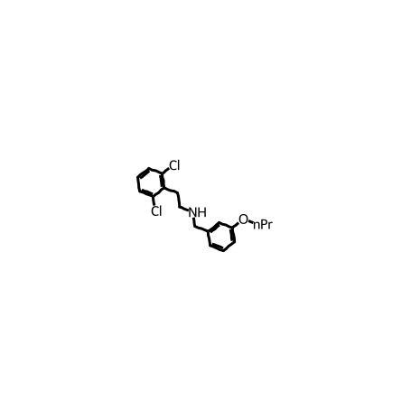 CCCOc1cccc(CNCCc2c(Cl)cccc2Cl)c1